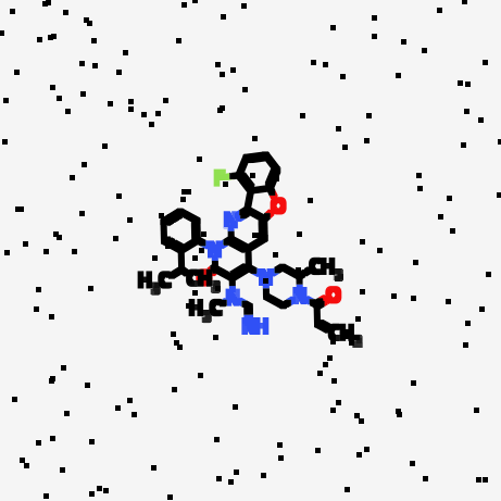 C=CC(=O)N1CCN(c2c(N(C)C=N)c(=O)n(-c3ccccc3C(C)C)c3nc4c(cc23)oc2cccc(F)c24)CC1C